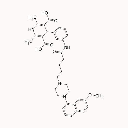 COc1ccc2cccc(N3CCN(CCCCC(=O)Nc4cccc(C5C(C(=O)O)=C(C)NC(C)=C5C(=O)O)c4)CC3)c2c1